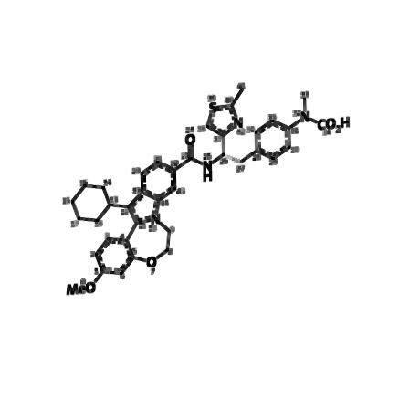 COc1ccc2c(c1)OCCn1c-2c(C2CCCCC2)c2ccc(C(=O)N[C@@H](Cc3ccc(N(C)C(=O)O)cc3)c3csc(C)n3)cc21